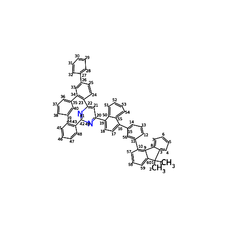 CC1(C)c2ccccc2-c2c(-c3cccc(-c4ccc(-c5cc(-c6ccc(-c7ccccc7)cc6-c6ccccc6)nc(-c6ccccc6)n5)c5ccccc45)c3)cccc21